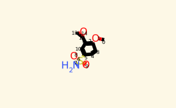 COc1ccc(S(N)(=O)=O)cc1C1CO1